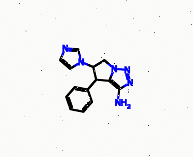 Nc1nnn2c1C(c1ccccc1)C(n1ccnc1)C2